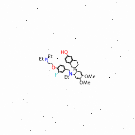 CCN(CC)CCOc1ccc(CN(CC)C2C=C(OC)C(OC)=CC2[C@@H]2CCc3cc(O)ccc3C2)cc1F